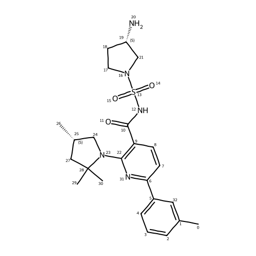 Cc1cccc(-c2ccc(C(=O)NS(=O)(=O)N3CC[C@H](N)C3)c(N3C[C@@H](C)CC3(C)C)n2)c1